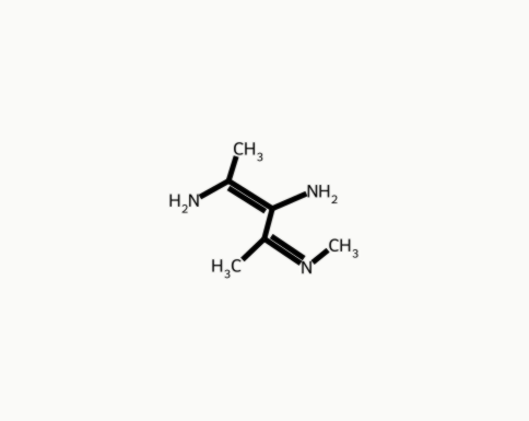 C/N=C(C)\C(N)=C(\C)N